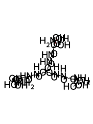 CC(COCCC(=O)NCCCNC(=O)CCCCOC1CC(CO)C(O)C(O)C1N)(COCCC(=O)NCCCNC(=O)CCCCOC1OC(CO)C(O)C(O)C1N)COCCC(=O)NCCCNC(=O)CCCCOC1OC(CO)C(O)C(O)C1N